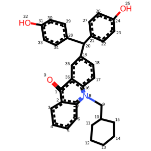 O=c1c2ccccc2n(CC2CCCCC2)c2ccc(C(c3ccc(O)cc3)c3ccc(O)cc3)cc12